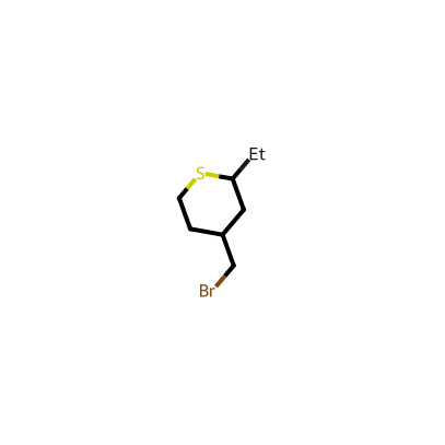 CCC1CC(CBr)CCS1